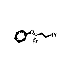 CC(C)CCP(Br)Oc1ccccc1